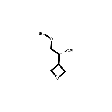 CC(C)(C)OC[C@@H](C1COC1)C(C)(C)C